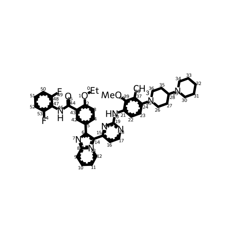 CCOc1ccc(-c2nc3ccccn3c2-c2ccnc(Nc3ccc(N4CCC(N5CCCCC5)CC4)c(C)c3OC)n2)cc1C(=O)Nc1c(F)cccc1F